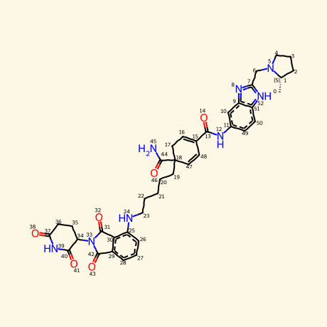 C[C@H]1CCCN1Cc1nc2cc(NC(=O)C3=CCC(CCCCCNc4cccc5c4C(=O)N(C4CCC(=O)NC4=O)C5=O)(C(N)=O)C=C3)ccc2[nH]1